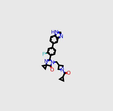 O=C(C1CC1)N1CC(CN2C(=O)C3(CC3)N=C2c2ccc(-c3ccc4[nH]cnc4c3)cc2F)C1